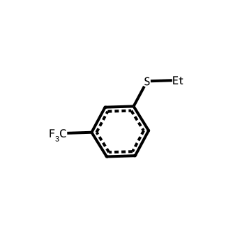 CCSc1cccc(C(F)(F)F)c1